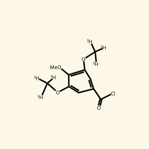 [2H]C([2H])([2H])Oc1cc(C(=O)Cl)cc(OC([2H])([2H])[2H])c1OC